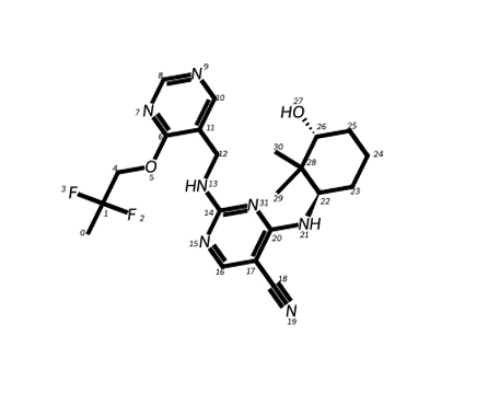 CC(F)(F)COc1ncncc1CNc1ncc(C#N)c(N[C@@H]2CCC[C@@H](O)C2(C)C)n1